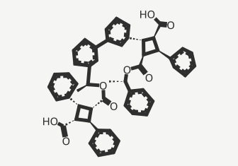 C[C@H](OC(=O)[C@@H]1[C@H](c2ccccc2)[C@H](C(=O)O)[C@H]1c1cccc(-c2cccc([C@H](C)OC(=O)[C@H]3[C@@H](c4ccccc4)[C@@H](C(=O)O)[C@@H]3c3ccccc3)c2)c1)c1ccccc1